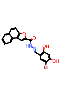 O=C(NN=Cc1cc(Br)c(O)cc1O)c1cc2c(ccc3ccccc32)o1